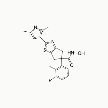 Cc1cc(-c2nc3c(s2)CC(C(=O)NO)(c2cccc(F)c2C)C3)n(C)n1